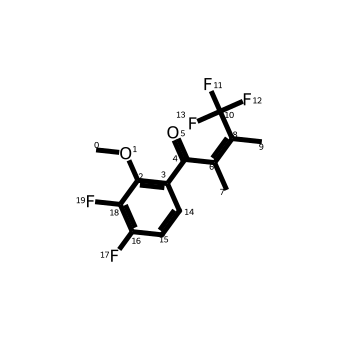 COc1c(C(=O)/C(C)=C(/C)C(F)(F)F)ccc(F)c1F